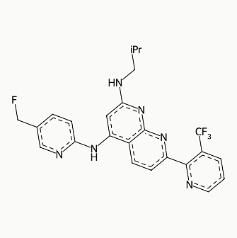 CC(C)CNc1cc(Nc2ccc(CF)cn2)c2ccc(-c3ncccc3C(F)(F)F)nc2n1